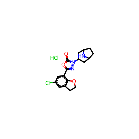 Cl.O=c1oc(-c2cc(Cl)cc3c2OCC3)nn1C1CC2CCC(C1)N2